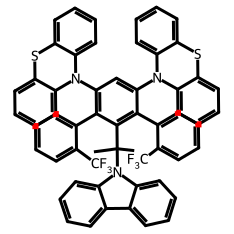 CC(C)(c1c(-c2ccccc2C(F)(F)F)c(N2c3ccccc3Sc3ccccc32)cc(N2c3ccccc3Sc3ccccc32)c1-c1ccccc1C(F)(F)F)n1c2ccccc2c2ccccc21